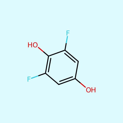 Oc1cc(F)c(O)c(F)c1